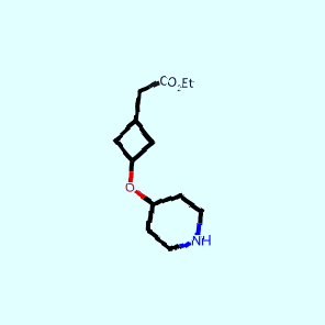 CCOC(=O)CC1CC(OC2CCNCC2)C1